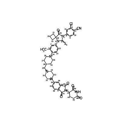 Cc1cc(N2C(=S)N(c3ccc(C#N)c(Cl)c3)C(=O)C23CCC3)ccc1N1CCC(CN2CCN(c3ccc4c(c3)C(=O)N(C3CCC(=O)NC3=O)C4=O)CC2)CC1